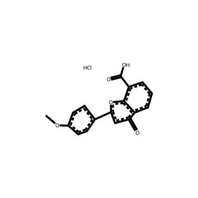 COc1ccc(-c2cc(=O)c3cccc(C(=O)O)c3o2)cc1.Cl